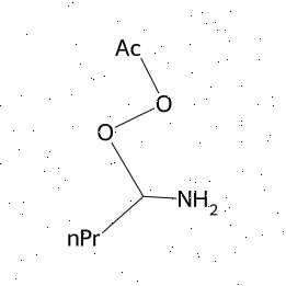 CCCC(N)OOC(C)=O